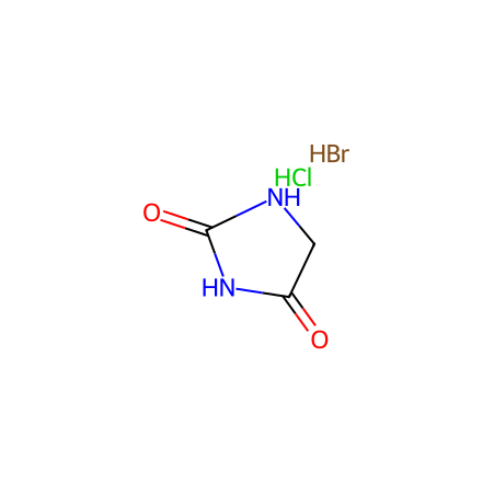 Br.Cl.O=C1CNC(=O)N1